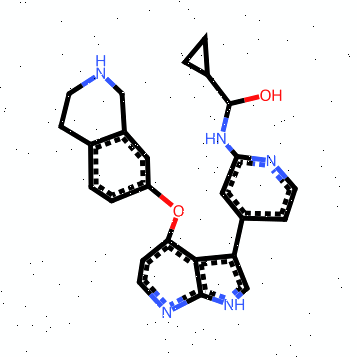 OC(Nc1cc(-c2c[nH]c3nccc(Oc4ccc5c(c4)CNCC5)c23)ccn1)C1CC1